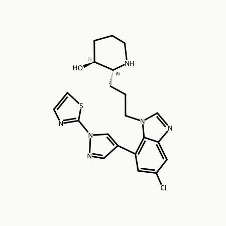 O[C@H]1CCCN[C@@H]1CCCn1cnc2cc(Cl)cc(-c3cnn(-c4nccs4)c3)c21